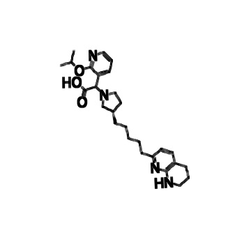 CC(C)Oc1ncccc1C(C(=O)O)N1CC[C@@H](CCCCCc2ccc3c(n2)NCCC3)C1